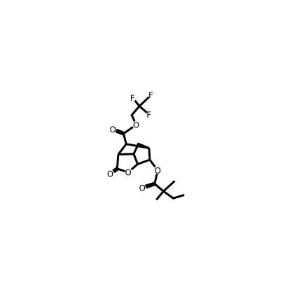 CCC(C)(C)C(=O)OC1C2CC3C1OC(=O)C3C2C(=O)OCC(F)(F)F